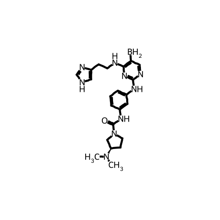 Bc1cnc(Nc2cccc(NC(=O)N3CC[C@@H](N(C)C)C3)c2)nc1NCCc1c[nH]cn1